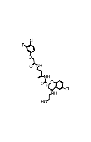 C=C(CCNC(=O)COc1ccc(Cl)c(F)c1)NC(=O)[C@H]1C[C@@H](NCCO)c2cc(Cl)ccc2O1